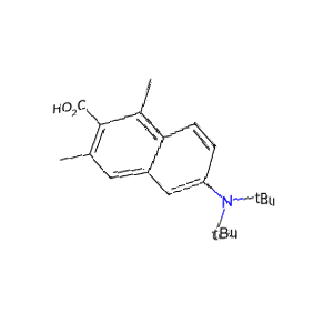 Cc1cc2cc(N(C(C)(C)C)C(C)(C)C)ccc2c(C)c1C(=O)O